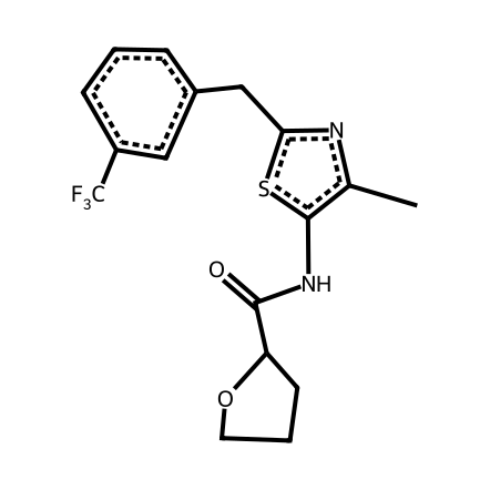 Cc1nc(Cc2cccc(C(F)(F)F)c2)sc1NC(=O)C1CCCO1